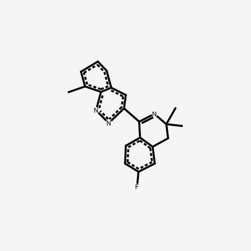 Cc1cccc2cc(C3=NC(C)(C)Cc4cc(F)ccc43)nnc12